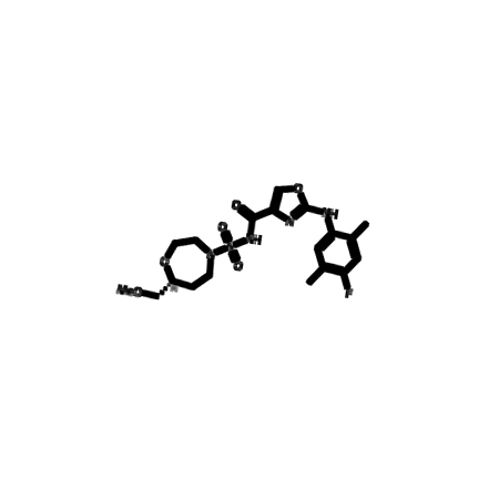 COC[C@H]1CCN(S(=O)(=O)NC(=O)c2coc(Nc3cc(C)c(F)cc3C)n2)CCO1